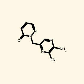 N#Cc1nc(Cn2ncccc2=O)cnc1N